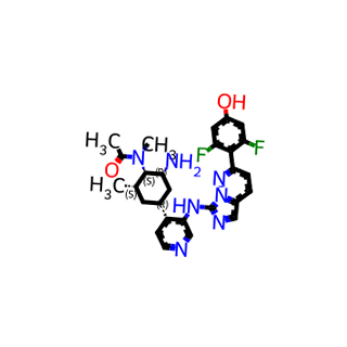 CC(=O)N(C)[C@@H]1[C@H](N)C[C@H](c2ccncc2Nc2ncc3ccc(-c4c(F)cc(O)cc4F)nn23)C[C@@H]1C